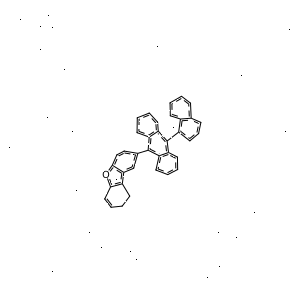 C1=Cc2oc3ccc(-c4c5ccccc5c(-c5cccc6ccccc56)c5ccccc45)cc3c2CC1